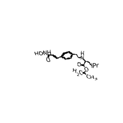 C=C(C)OC(=O)[C@H](CC(C)C)NCCc1ccc(/C=C/C(=O)NO)cc1